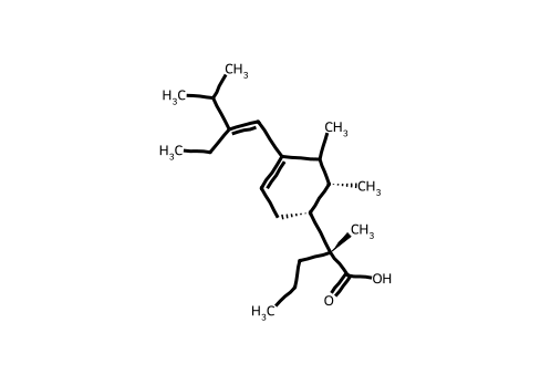 CCC[C@@](C)(C(=O)O)[C@@H]1CC=C(/C=C(\CC)C(C)C)C(C)[C@@H]1C